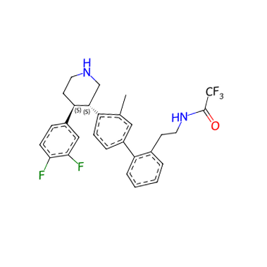 Cc1cc(-c2ccccc2CCNC(=O)C(F)(F)F)ccc1[C@H]1CNCC[C@@H]1c1ccc(F)c(F)c1